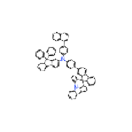 c1ccc(C2(c3ccccc3)c3ccccc3-c3ccc(N(c4ccc(-c5ccc6c(c5)C5(c7ccccc7-6)c6ccccc6-n6c7ccccc7c7cccc5c76)cc4)c4ccc(-c5cccc6ccccc56)cc4)cc32)cc1